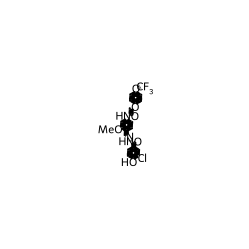 COc1cc(NC(=O)COc2ccc(OC(F)(F)F)cc2)ccc1/C=N/NC(=O)c1ccc(O)c(Cl)c1